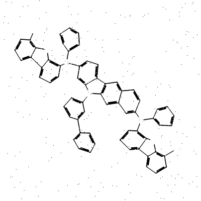 Cc1cccc2c1oc1c(N(c3ccccc3)c3ccc4cc5c6ccc(N(c7ccccc7)c7cccc8c7oc7c(C)cccc78)cc6n(-c6cccc(-c7ccccc7)c6)c5cc4c3)cccc12